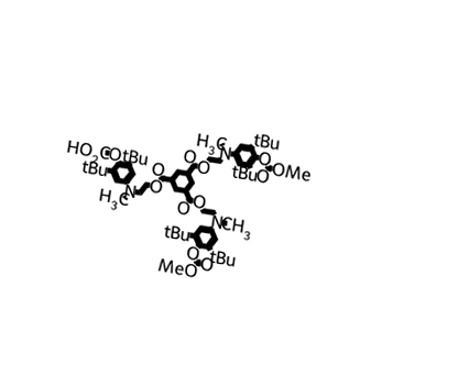 COC(=O)Oc1c(C(C)(C)C)cc(N(C)CCOC(=O)C2CC(C(=O)OCCN(C)c3cc(C(C)(C)C)c(OC(=O)O)c(C(C)(C)C)c3)CC(C(=O)OCCN(C)c3cc(C(C)(C)C)c(OC(=O)OC)c(C(C)(C)C)c3)C2)cc1C(C)(C)C